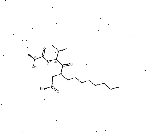 CCCCCCCCN(CC(=O)O)C(=O)[C@@H](NC(=O)[C@H](C)N)C(C)C